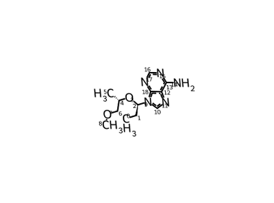 CC[C@@H](O[C@@H](C)COC)n1cnc2c(N)ncnc21